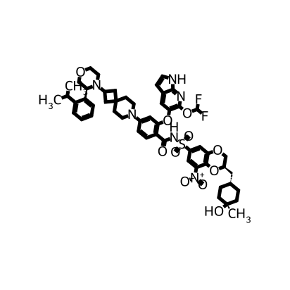 CC(C)c1ccccc1[C@H]1COCCN1C1CC2(CCN(c3ccc(C(=O)NS(=O)(=O)c4cc5c(c([N+](=O)[O-])c4)O[C@H](C[C@H]4CC[C@](C)(O)CC4)CO5)c(Oc4cc5cc[nH]c5nc4OC(F)F)c3)CC2)C1